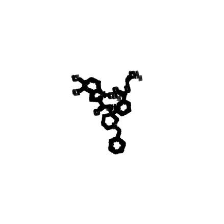 CCOC(=O)c1cccc(C2(NC(=O)c3cc4c(Cl)c(Cl)ccc4n3C)CCCN(Cc3ccccc3)C2)c1